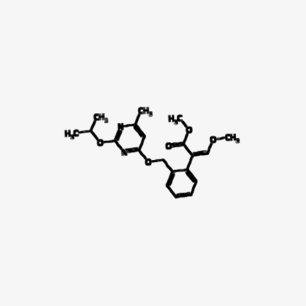 CO/C=C(\C(=O)OC)c1ccccc1COc1cc(C)nc(OC(C)C)n1